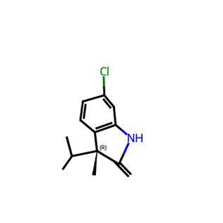 C=C1Nc2cc(Cl)ccc2[C@@]1(C)C(C)C